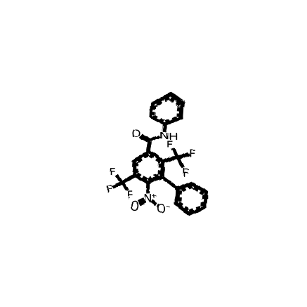 O=C(Nc1ccccc1)c1cc(C(F)(F)F)c([N+](=O)[O-])c(-c2ccccc2)c1C(F)(F)F